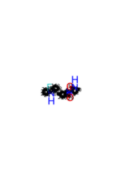 C=C1CCC(N2Cc3cc(C[C@H]4CCC[C@H](F)[C@@H]4NC4CCCCC4)ccc3C2=O)C(=O)N1